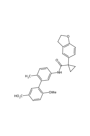 COc1ccc(C(=O)O)cc1-c1cc(NC(=O)C2(c3ccc4c(c3)CCO4)CC2)ccc1C